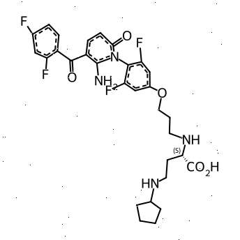 Nc1c(C(=O)c2ccc(F)cc2F)ccc(=O)n1-c1c(F)cc(OCCCN[C@@H](CCNC2CCCC2)C(=O)O)cc1F